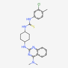 Cc1ccc(NC(=S)NC2CCC(Nc3nc(N(C)C)c4ccccc4n3)CC2)cc1Cl